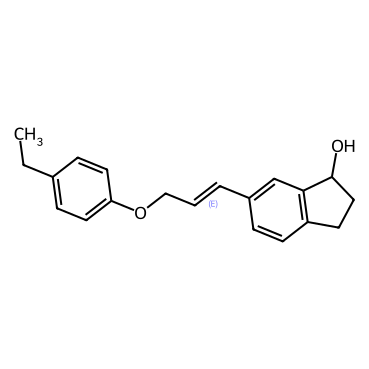 CCc1ccc(OC/C=C/c2ccc3c(c2)C(O)CC3)cc1